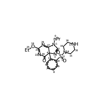 CCCN1C=NC2(c3ccccc3S(=O)(=O)N3CCNCC3)C(=O)N=C(OCC)N=C12